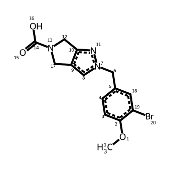 COc1ccc(Cn2cc3c(n2)CN(C(=O)O)C3)cc1Br